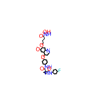 COc1cc2c(Oc3ccc(NC(=O)C4(C(=O)Nc5ccc(F)cc5)CC4)cc3)ccnc2cc1OCCCC(=O)NO